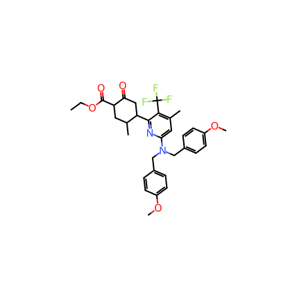 CCOC(=O)C1CC(C)C(c2nc(N(Cc3ccc(OC)cc3)Cc3ccc(OC)cc3)cc(C)c2C(F)(F)F)CC1=O